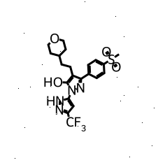 CS(=O)(=O)c1ccc(-c2nn(-c3cc(C(F)(F)F)n[nH]3)c(O)c2CCC2CCOCC2)cc1